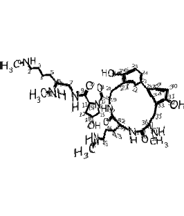 CNCCCC[C@@H](CNC(=O)[C@@H]1C[C@@H](O)CN1C(=O)[C@@H]1Cc2cc(ccc2O)-c2ccc(O)c(c2)C[C@H](NC)C(=O)N[C@@H](CCCNC)C(=O)N1)NC